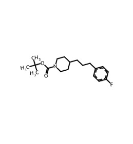 CC(C)(C)OC(=O)N1CCC(CCCc2ccc(F)cc2)CC1